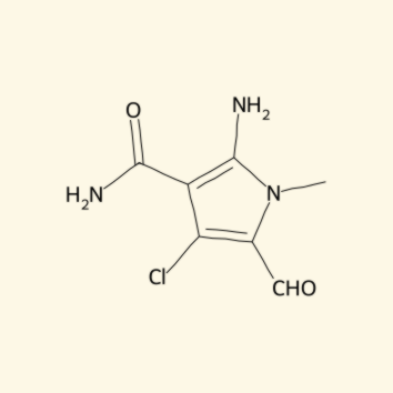 Cn1c(N)c(C(N)=O)c(Cl)c1C=O